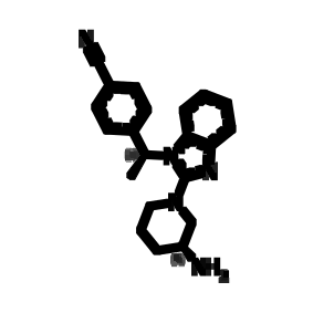 C[C@@H](c1ccc(C#N)cc1)n1c(N2CCC[C@H](N)C2)nc2ccccc21